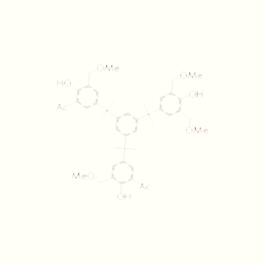 COCc1cc(C(C)(C)c2cc(C(C)(C)c3cc(COC)c(O)c(C(C)=O)c3)cc(C(C)(C)c3cc(COC)c(O)c(C(C)=O)c3)c2)cc(COC)c1O